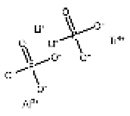 O=P([O-])([O-])[O-].O=P([O-])([O-])[O-].[Al+3].[Li+].[Ti+4]